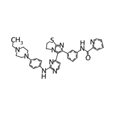 CCN1CCN(c2ccc(Nc3nccc(-c4c(-c5cccc(NC(=O)c6ccccn6)c5)nc5n4CCS5)n3)cc2)CC1